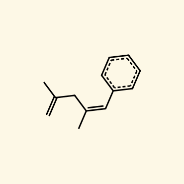 C=C(C)CC(C)=Cc1ccccc1